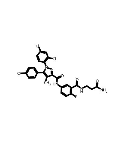 Cc1c(C(=O)Nc2ccc(F)c(C(=O)NCCC(N)=O)c2)nn(-c2ccc(Cl)cc2Cl)c1-c1ccc(Cl)cc1